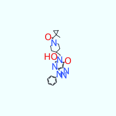 CC1(C(=O)N2CCC(O)(Cn3cnc4c(nnn4-c4ccccc4)c3=O)CC2)CC1